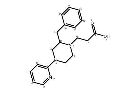 O=C(O)CCN1CCN(c2ccccn2)CC1Cc1ccccc1